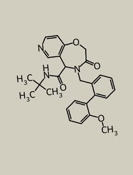 COc1ccccc1-c1ccccc1CN1C(=O)COc2ccncc2C1C(=O)NC(C)(C)C